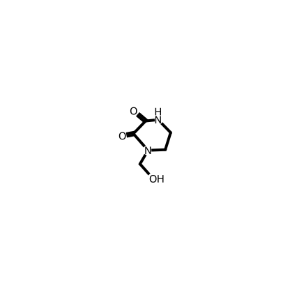 O=C1NCCN(CO)C1=O